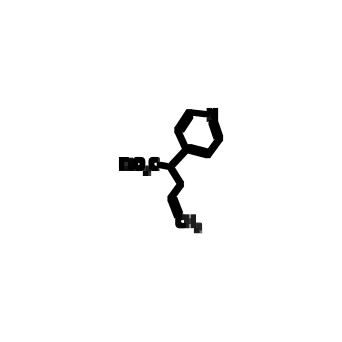 C=CCC(C(=O)OCC)c1ccncc1